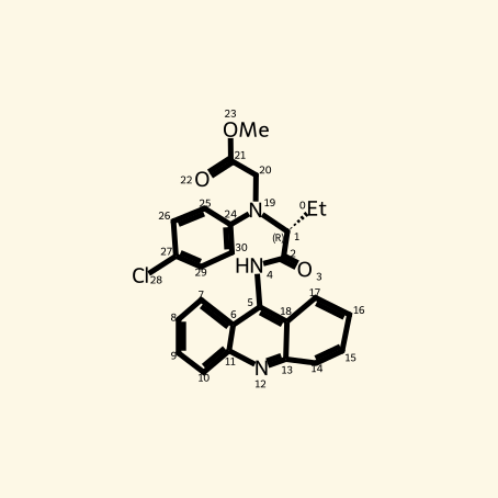 CC[C@H](C(=O)Nc1c2ccccc2nc2ccccc12)N(CC(=O)OC)c1ccc(Cl)cc1